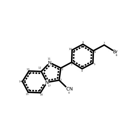 N#Cc1c(-c2ccc(CBr)cc2)nc2ccccn12